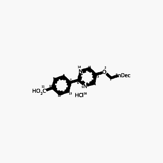 CCCCCCCCCCCOc1cnc(-c2ccc(C(=O)O)cc2)nc1.Cl